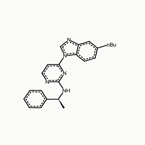 CCCCc1ccc2c(c1)ncn2-c1ccnc(N[C@@H](C)c2ccccc2)n1